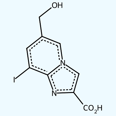 O=C(O)c1cn2cc(CO)cc(I)c2n1